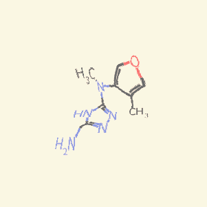 Cc1cocc1N(C)c1nnc(N)[nH]1